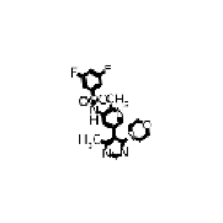 Cc1ncc(-c2c(C)ncnc2N2CCOCC2)cc1NS(=O)(=O)c1cc(F)cc(F)c1